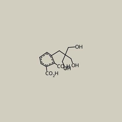 O=C(O)c1cccc(CC(CO)(CO)CO)c1C(=O)O